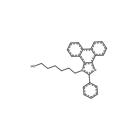 OCCCCCCn1c(-c2ccccc2)nc2c3ccccc3c3ccccc3c21